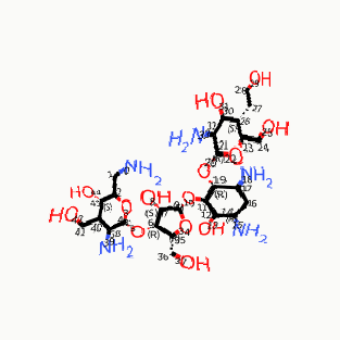 NCC1O[C@H](O[C@@H]2[C@H](O)[C@H](OC3C(O)[C@H](N)CC(N)[C@H]3O[C@H]3OC(CO)[C@@H](CCO)C(O)C3N)O[C@@H]2CO)C(N)C(CO)[C@@H]1O